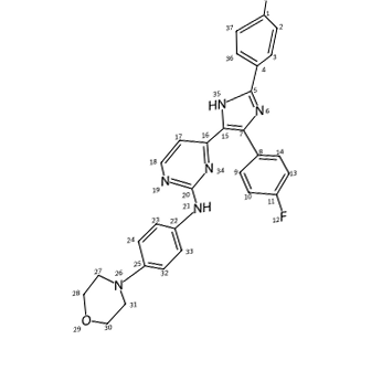 Fc1ccc(-c2nc(-c3ccc(F)cc3)c(-c3ccnc(Nc4ccc(N5CCOCC5)cc4)n3)[nH]2)cc1